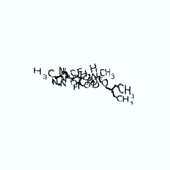 CCC(CC)COC(=O)[C@H](C)NP1(=O)OC[C@H]2O[C@@H](c3cnc4c(C)ncnn34)[C@](C)(F)[C@@H]2O1